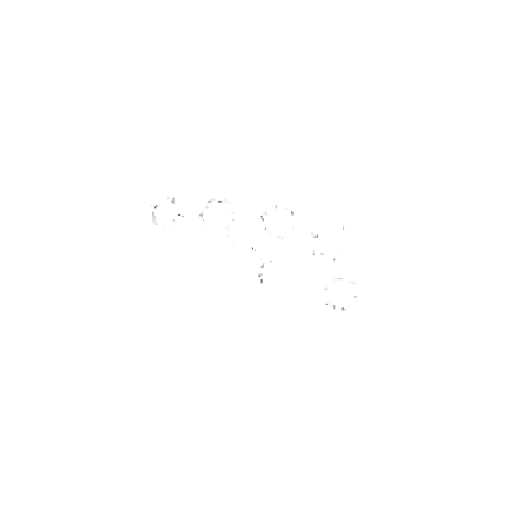 C[C@H](OC(=O)c1ccccc1)c1cccc2c1C(F)(F)C(=O)N2Cc1cncc(-n2ccnn2)c1